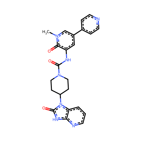 Cn1cc(-c2ccncc2)cc(NC(=O)N2CCC(n3c(=O)[nH]c4ncccc43)CC2)c1=O